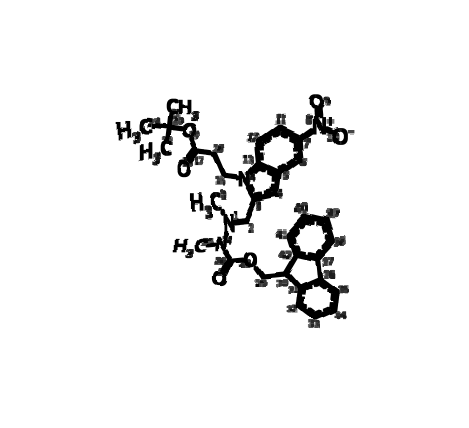 CN(Cc1cc2cc([N+](=O)[O-])ccc2n1CCC(=O)OC(C)(C)C)N(C)C(=O)OCC1c2ccccc2-c2ccccc21